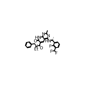 CCN(Cc1ccccc1)C(=O)c1cc2c(N[C@H](C)c3cccc(C(F)F)c3F)nc(C)nc2[nH]c1=O